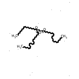 CCCCC/C=C\C/C=C\C/C=C\C/C=C\CCCCCC(=O)OC[C@@H](COC(=O)CCCCCCC/C=C\CCCCCCCC)OC(=O)CCCCC/C=C\C/C=C\C/C=C\C/C=C\CCCCC